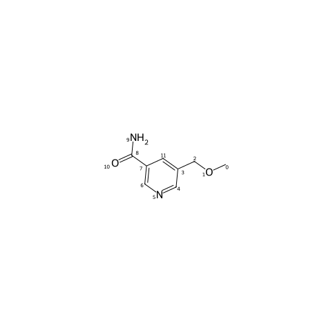 COCc1cncc(C(N)=O)c1